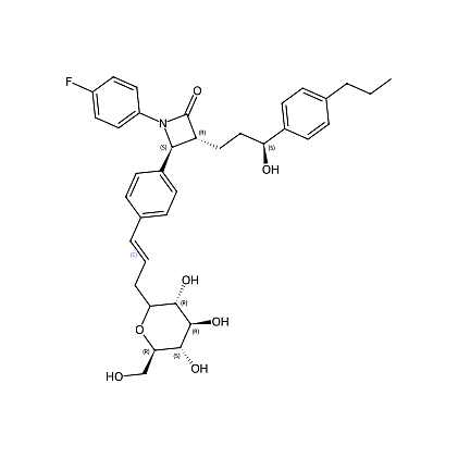 CCCc1ccc([C@@H](O)CC[C@H]2C(=O)N(c3ccc(F)cc3)[C@@H]2c2ccc(/C=C/CC3O[C@H](CO)[C@@H](O)[C@H](O)[C@H]3O)cc2)cc1